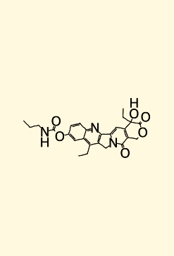 CCCNC(=O)Oc1ccc2nc3c(c(CC)c2c1)Cn1c-3cc2c(c1=O)COC(=O)C2(O)CC